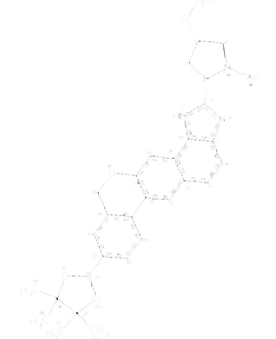 COC[C@H]1C[C@@H](c2nc3ccc4cc5c(cc4c3[nH]2)OCc2cc(B3OC(C)(C)C(C)(C)O3)ccc2-5)N(C(C)=O)C1